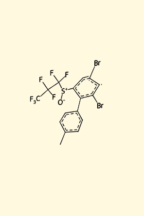 Cc1ccc(-c2c(Br)[c]c(Br)cc2[S+]([O-])C(F)(F)C(F)(F)C(F)(F)F)cc1